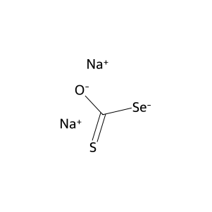 [Na+].[Na+].[O-]C(=S)[Se-]